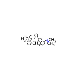 C=C(CC1=CCC=C1C1=Cc2c(cccc2CN(C)C)C1)c1c(C)cccc1C